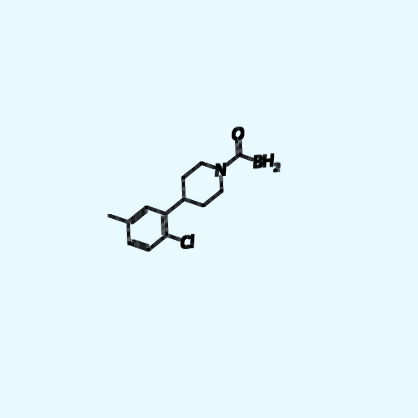 BC(=O)N1CCC(c2cc(C)ccc2Cl)CC1